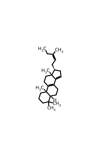 CCC(C)=CC[C@H]1CC=C2C3=C(CC[C@@]21C)[C@@]1(C)CCCC(C)(C)[C@H]1CC3